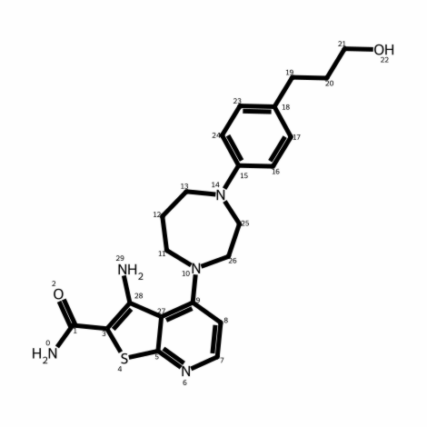 NC(=O)c1sc2nccc(N3CCCN(c4ccc(CCCO)cc4)CC3)c2c1N